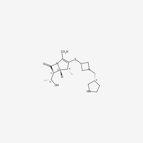 C[C@@H](O)[C@H]1C(=O)N2C(C(=O)O)=C(SC3CN(C[C@@H]4CCNC4)C3)[C@H](C)[C@H]12